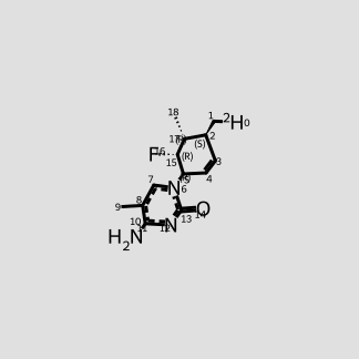 [2H]C[C@H]1C=C[C@@H](n2cc(C)c(N)nc2=O)[C@H](F)[C@@H]1C